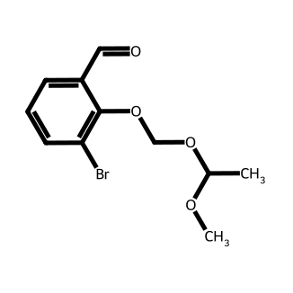 COC(C)OCOc1c(Br)cccc1C=O